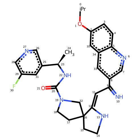 CC(C)Oc1ccc2ncc(C(=N)/C=C3\NCCC34CCN(C(=O)N[C@H](C)c3cncc(F)c3)C4)cc2c1